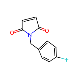 O=C1C=CC(=O)N1Cc1ccc(F)cc1